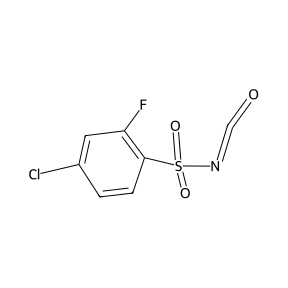 O=C=NS(=O)(=O)c1ccc(Cl)cc1F